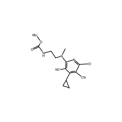 CN(CCNC(=O)OC(C)(C)C)c1nc(Cl)c(C#N)c(C2CC2)c1C#N